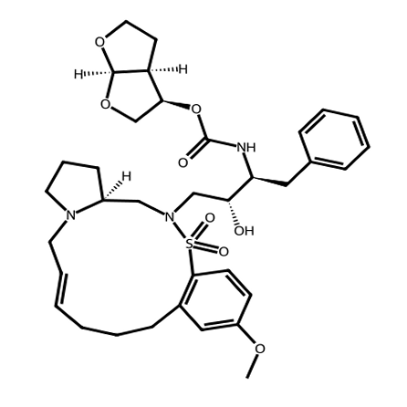 COc1ccc2c(c1)CCC/C=C/CN1CCC[C@H]1CN(C[C@@H](O)[C@H](Cc1ccccc1)NC(=O)O[C@H]1CO[C@H]3OCC[C@H]31)S2(=O)=O